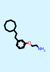 NCCOc1cccc(CCC2CCCCCCC2)c1